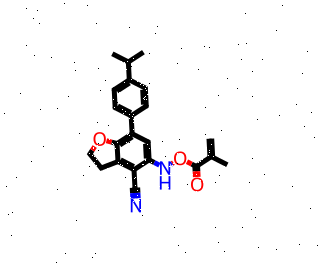 C=C(C)C(=O)ONc1cc(-c2ccc(C(C)C)cc2)c2c(c1C#N)CCO2